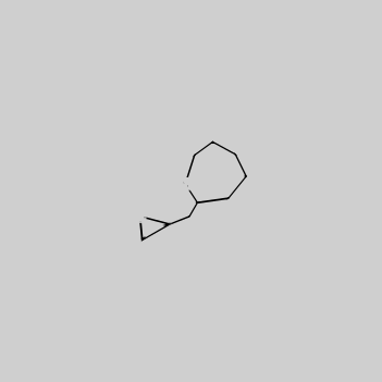 C1CCNC(CC2CO2)CC1